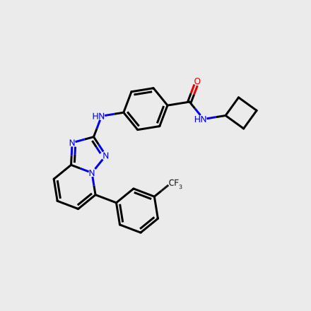 O=C(NC1CCC1)c1ccc(Nc2nc3cccc(-c4cccc(C(F)(F)F)c4)n3n2)cc1